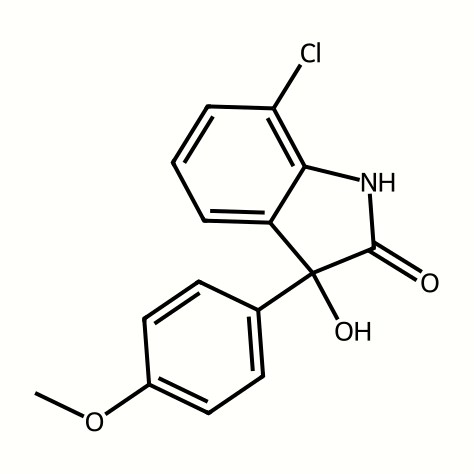 COc1ccc(C2(O)C(=O)Nc3c(Cl)cccc32)cc1